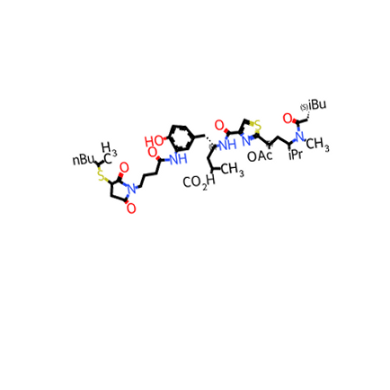 CCCCC(C)SC1CC(=O)N(CCCC(=O)Nc2cc(C[C@@H](CC(C)C(=O)O)NC(=O)c3csc([C@@H](CC(C(C)C)N(C)C(=O)C[C@@H](C)CC)OC(C)=O)n3)ccc2O)C1=O